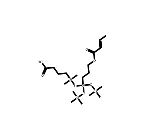 CC=CC(=O)OCCC[Si](O[Si](C)(C)C)(O[Si](C)(C)C)O[Si](C)(C)CCCC(=O)O